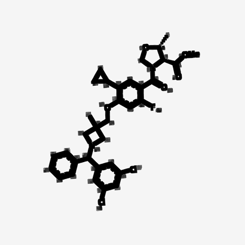 COC(=O)[C@@H]1[C@@H](C)OCN1C(=O)c1cc(C2CC2)c(OCC2(C)CN(C(c3ccccc3)c3cc(Cl)cc(Cl)c3)C2)cc1F